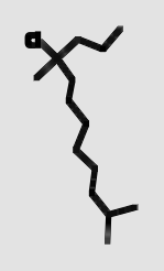 CCCC(C)(Cl)CCCCCCC(C)C